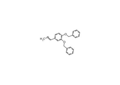 CN=Cc1ccc(OCc2ccccc2)c(OCc2ccccc2)c1